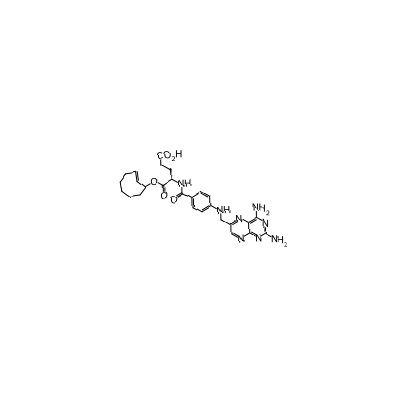 Nc1nc(N)c2nc(CNc3ccc(C(=O)N[C@H](CCC(=O)O)C(=O)OC4/C=C/CCCCC4)cc3)cnc2n1